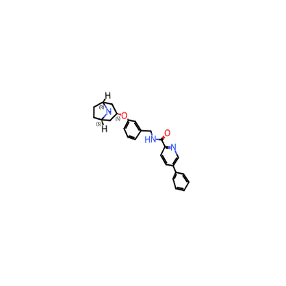 CN1[C@@H]2CC[C@H]1C[C@H](Oc1cccc(CNC(=O)c3ccc(-c4ccccc4)cn3)c1)C2